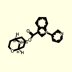 O=C(O[C@H]1C[C@@H]2CCO[C@H](C1)N2)c1cn(-c2cccnc2)c2ccccc12